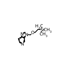 C[Si](C)(C)CCOCn1cnc2ccncc21